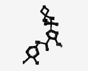 Cc1sc(S(=O)(=O)NC2(C)COC2)cc1C(=O)Nc1ccc(F)c(Cl)c1